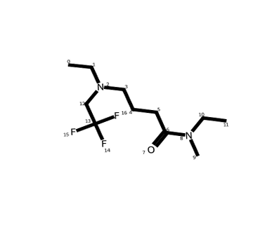 CCN(CCCC(=O)N(C)CC)CC(F)(F)F